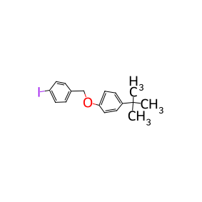 CC(C)(C)c1ccc(OCc2ccc(I)cc2)cc1